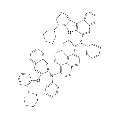 c1ccc(N(c2ccc3ccc4c(N(c5ccccc5)c5cc6ccccc6c6c5oc5c(C7CCCCC7)cccc56)ccc5ccc2c3c54)c2cc3ccccc3c3c2oc2c(C4CCCCC4)cccc23)cc1